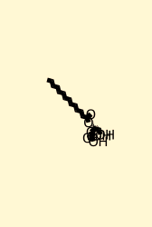 CCCCCCCCCCCCCC(=O)OC[C@H](CO)OP(=O)(O)O